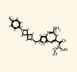 CCCN(OCC)C(=O)C1=Cc2sc(CN3CC4(C3)CN(c3ccc(C)cc3)C4)cc2N=C(N)C1